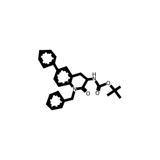 CC(C)(C)OC(=O)NC1Cc2cc(-c3ccccc3)ccc2N(Cc2ccccc2)C1=O